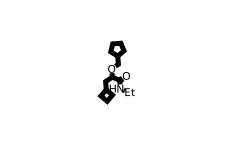 CCNC(=O)C(CC1CCC1)OCC1CCCC1